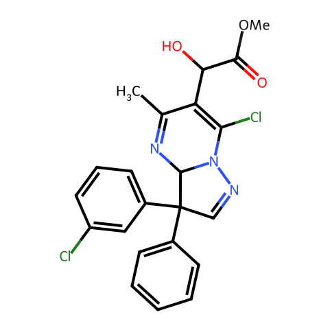 COC(=O)C(O)C1=C(Cl)N2N=CC(c3ccccc3)(c3cccc(Cl)c3)C2N=C1C